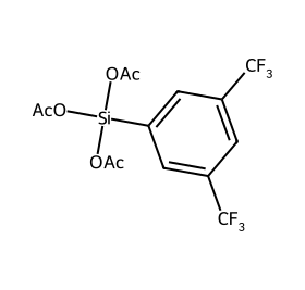 CC(=O)O[Si](OC(C)=O)(OC(C)=O)c1cc(C(F)(F)F)cc(C(F)(F)F)c1